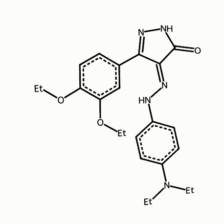 CCOc1ccc(C2=NNC(=O)/C2=N/Nc2ccc(N(CC)CC)cc2)cc1OCC